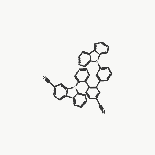 N#Cc1ccc(-c2ccccc2-n2c3ccccc3c3ccc(C#N)cc32)c(-c2cccc(-n3c4ccccc4c4ccccc43)c2)c1